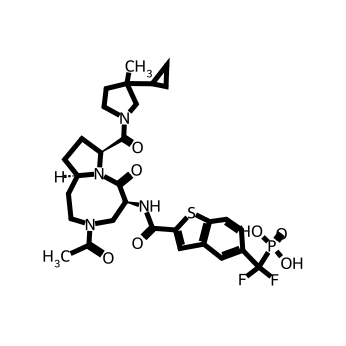 CC(=O)N1CC[C@H]2CC[C@@H](C(=O)N3CCC(C)(C4CC4)C3)N2C(=O)[C@@H](NC(=O)c2cc3cc(C(F)(F)P(=O)(O)O)ccc3s2)C1